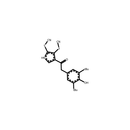 CC(C)(C)c1cc(CC(=O)c2c[nH]c(SC#N)c2SC#N)cc(C(C)(C)C)c1O